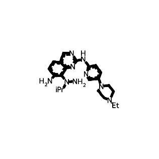 CCN1CCN(c2ccc(Nc3ncc4ccc(N)c(N(N)C(C)C)c4n3)nc2)CC1